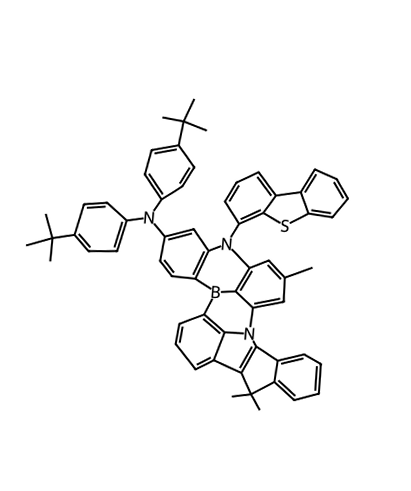 Cc1cc2c3c(c1)-n1c4c(c5cccc(c51)B3c1ccc(N(c3ccc(C(C)(C)C)cc3)c3ccc(C(C)(C)C)cc3)cc1N2c1cccc2c1sc1ccccc12)C(C)(C)c1ccccc1-4